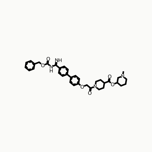 CN1CCCC(OC(=O)C2CCN(C(=O)COc3ccc(-c4ccc(C(=N)NC(=O)OCc5ccccc5)cc4)cc3)CC2)C1